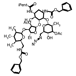 CCC[C@H](C)C(=O)N[C@@H]1C[C@H](NC(=O)OCc2ccccc2)[C@@H](O[C@H]2O[C@H](CN=[N+]=[N-])[C@@H](O)[C@H](OC(C)=O)[C@H]2C)[C@H](O[C@@H]2O[C@H](CC)[C@@H](O[C@H]3O[C@@H](CNC(=O)OCc4ccccc4)[C@@H](C)[C@H](C)[C@H]3C)[C@H]2OC(C)=O)[C@H]1C